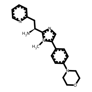 Cn1c(-c2ccc(N3CCOCC3)cc2)cnc1[C@@H](N)Cc1ccccn1